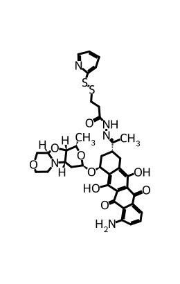 C/C(=N\NC(=O)CCSSc1ccccn1)[C@@H]1Cc2c(O)c3c(c(O)c2[C@@H](O[C@H]2C[C@H]4[C@H](O[C@@H]5COCCN54)[C@H](C)O2)C1)C(=O)c1c(N)cccc1C3=O